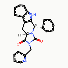 O=C1[C@H]2Cc3c([nH]c4ccccc34)[C@H](c3ccccc3)N2C(=O)N1Cc1ccccn1